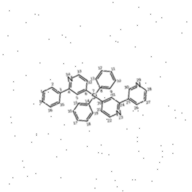 c1ccc(-c2cc([Si](c3ccccc3)(c3ccccc3)c3ccnc(-c4cccnc4)c3)ccn2)cc1